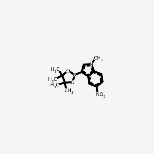 Cn1cc(B2OC(C)(C)C(C)(C)O2)c2cc([N+](=O)[O-])ccc21